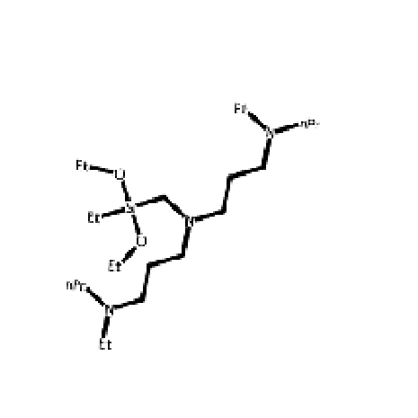 CCCN(CC)CCCN(CCCN(CC)CCC)C[Si](CC)(OCC)OCC